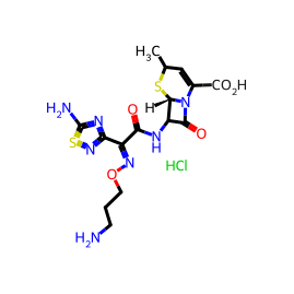 CC1C=C(C(=O)O)N2C(=O)C(NC(=O)C(=NOCCCN)c3nsc(N)n3)[C@@H]2S1.Cl